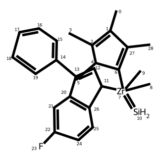 CC1=C(C)C(C)[C]([Zr]([CH3])([CH3])(=[SiH2])[CH]2C=C(c3ccccc3)c3cc(F)ccc32)=C1C